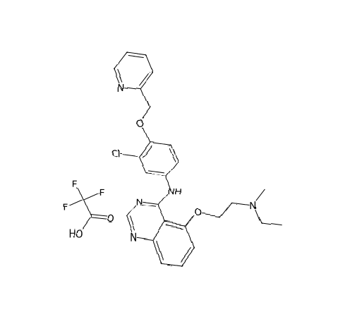 CCN(C)CCOc1cccc2ncnc(Nc3ccc(OCc4ccccn4)c(Cl)c3)c12.O=C(O)C(F)(F)F